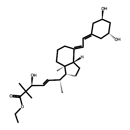 CCOC(=O)C(C)(C)[C@@H](O)/C=C/[C@@H](C)[C@H]1CC[C@H]2/C(=C/C=C3C[C@@H](O)C[C@H](O)C3)CCC[C@]12C